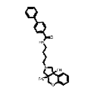 N#CC12COc3ccccc3C1(C#N)CN(CCCCNC(=O)c1ccc(-c3ccccc3)cc1)C2